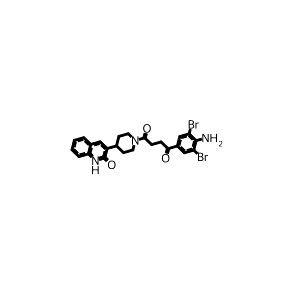 Nc1c(Br)cc(C(=O)CCC(=O)N2CCC(c3cc4ccccc4[nH]c3=O)CC2)cc1Br